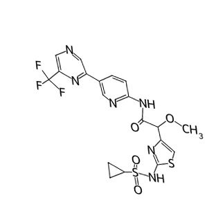 COC(C(=O)Nc1ccc(-c2cncc(C(F)(F)F)n2)cn1)c1csc(NS(=O)(=O)C2CC2)n1